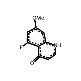 COc1cc(F)c2c(=O)cc[nH]c2c1